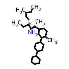 CCC(C)CC[C@@H](CC)C(N)[C@H](C)C1CCC(C)C(C2CCC(C3CCCCC3)CC2)C1